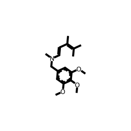 COc1cc(CN(C)C=CC(C)=C(C)C)cc(OC)c1OC